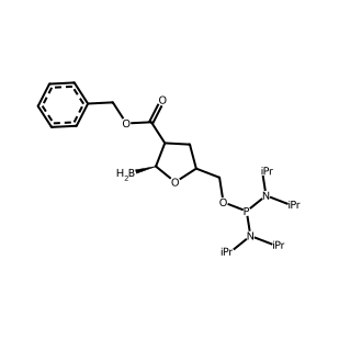 B[C@@H]1OC(COP(N(C(C)C)C(C)C)N(C(C)C)C(C)C)CC1C(=O)OCc1ccccc1